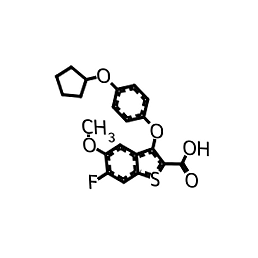 COc1cc2c(Oc3ccc(OC4CCCC4)cc3)c(C(=O)O)sc2cc1F